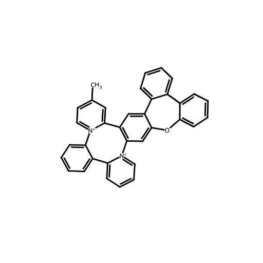 Cc1cc[n+]2c3ccccc3c3cccc[n+]3c3cc4oc5ccccc5c5ccccc5c4cc3c2c1